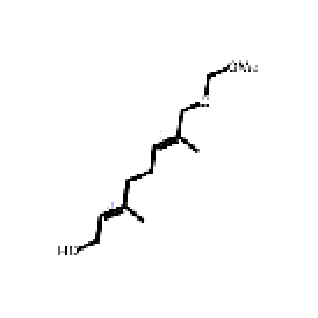 COCOC/C(C)=C/CC/C(C)=C/CO